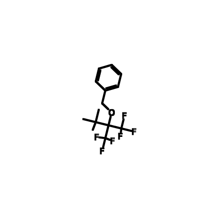 CC(C)(C)C(OCc1ccccc1)(C(F)(F)F)C(F)(F)F